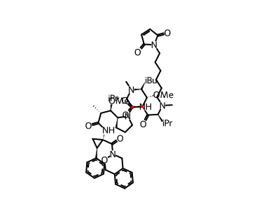 CC[C@H](C)[C@@H]([C@@H](CC(=O)N1CCC[C@H]1[C@H](OC)[C@@H](C)C(=O)N[C@@]1(C(=O)N2Cc3ccccc3CO2)C[C@@H]1c1ccccc1)OC)N(C)[C@H](C(=O)NC(=O)[C@H](C(C)C)N(C)CCCCCCN1C(=O)C=CC1=O)C(C)C